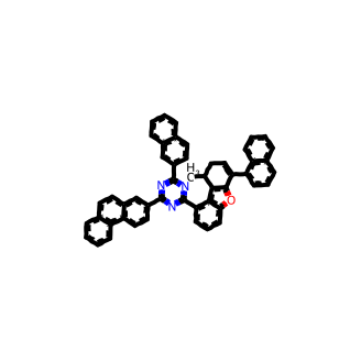 CC1CC=C(c2cccc3ccccc23)c2oc3cccc(-c4nc(-c5ccc6ccccc6c5)nc(-c5ccc6c(ccc7ccccc76)c5)n4)c3c21